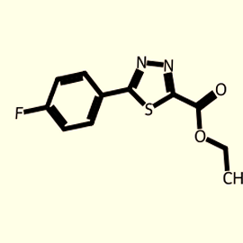 CCOC(=O)c1nnc(-c2ccc(F)cc2)s1